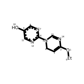 CCOC1=CCN(c2ncc(O)cn2)C=N1